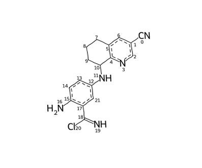 N#Cc1cnc2c(c1)CCCC2Nc1ccc(N)c(C(=N)Cl)c1